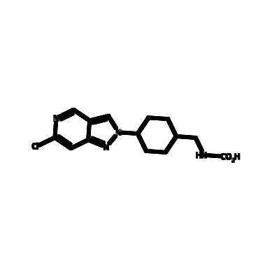 O=C(O)NCC1CCC(n2cc3cnc(Cl)cc3n2)CC1